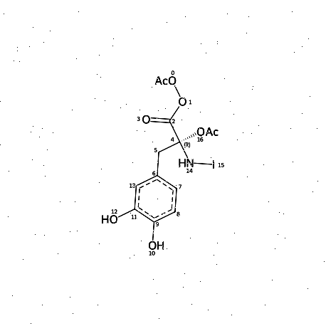 CC(=O)OOC(=O)[C@](Cc1ccc(O)c(O)c1)(NI)OC(C)=O